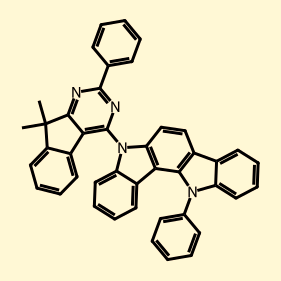 CC1(C)c2ccccc2-c2c(-n3c4ccccc4c4c3ccc3c5ccccc5n(-c5ccccc5)c34)nc(-c3ccccc3)nc21